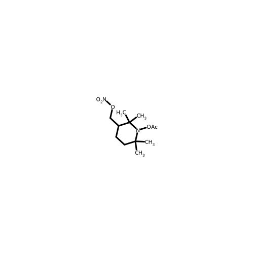 CC(=O)ON1C(C)(C)CCC(CO[N+](=O)[O-])C1(C)C